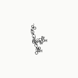 CCOC(=O)CN1CCN(C2CCN(C(=O)[C@@H](Cc3cc(Br)c(O)c(Br)c3)NC(=O)N3CCC(N4Cc5ccccc5NC4=O)CC3)CC2)CC1